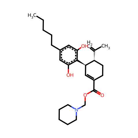 C=C(C)[C@@H]1CCC(C(=O)OCN2CCCCC2)=C[C@H]1c1c(O)cc(CCCCC)cc1O